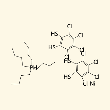 CCCC[PH](CCCC)(CCCC)CCCC.Sc1c(S)c(Cl)c(Cl)c(Cl)c1Cl.Sc1c(S)c(Cl)c(Cl)c(Cl)c1Cl.[Ni]